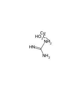 CC(=O)O.N=C(N)N.[Cu]